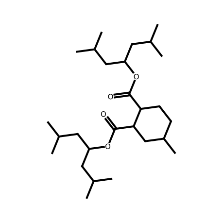 CC(C)CC(CC(C)C)OC(=O)C1CCC(C)CC1C(=O)OC(CC(C)C)CC(C)C